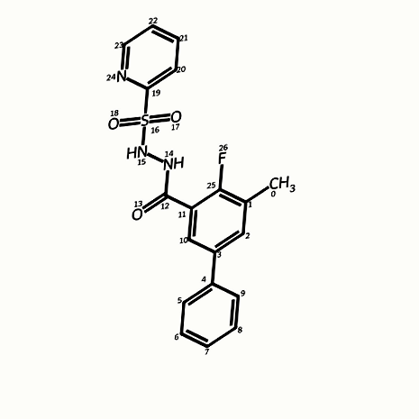 Cc1cc(-c2ccccc2)cc(C(=O)NNS(=O)(=O)c2ccccn2)c1F